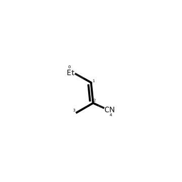 CC/C=C(\C)C#N